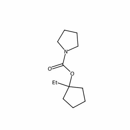 CCC1(OC(=O)N2CCCC2)CCCC1